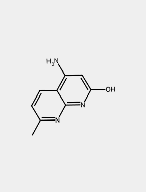 Cc1ccc2c(N)cc(O)nc2n1